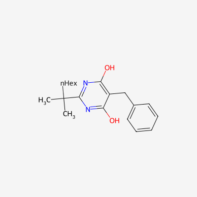 CCCCCCC(C)(C)c1nc(O)c(Cc2ccccc2)c(O)n1